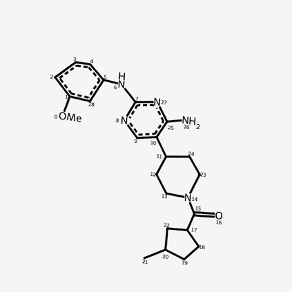 COc1cccc(Nc2ncc(C3CCN(C(=O)C4CCC(C)C4)CC3)c(N)n2)c1